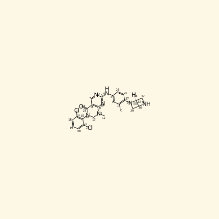 Cc1cc(Nc2ncc3c(n2)N(C)CN(c2c(Cl)cccc2Cl)C3=O)ccc1N1CC2NC[C@@H]21